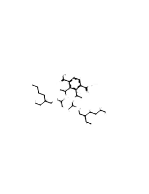 CCCCC(CC)COC(C)OC(C)c1c(C(=O)O)ccc(C(=O)O)c1C(C)OC(C)OCC(CC)CCCC